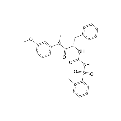 COc1cccc(N(C)C(=O)[C@H](Cc2ccccc2)NC(=O)NS(=O)(=O)c2ccccc2C)c1